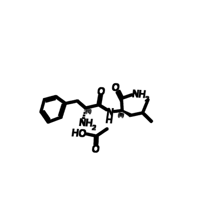 CC(=O)O.CC(C)C[C@@H](NC(=O)[C@H](N)Cc1ccccc1)C(N)=O